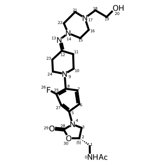 CC(=O)NC[C@H]1CN(c2ccc(N3CCC(=NN4CCN(CCO)CC4)CC3)c(F)c2)C(=O)O1